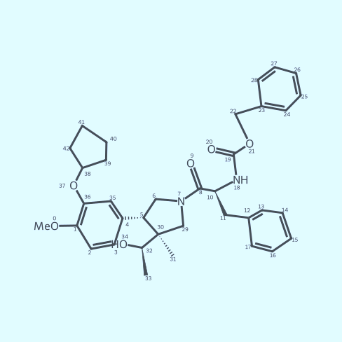 COc1ccc([C@@H]2CN(C(=O)[C@H](Cc3ccccc3)NC(=O)OCc3ccccc3)C[C@@]2(C)[C@@H](C)O)cc1OC1CCCC1